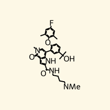 CNCCCCNC(=O)c1cc2c(=O)n(C)cc(-c3cc(C(C)(C)O)ccc3Oc3c(C)cc(F)cc3C)c2[nH]1